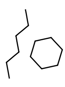 C1CCCCC1.CCCCCC